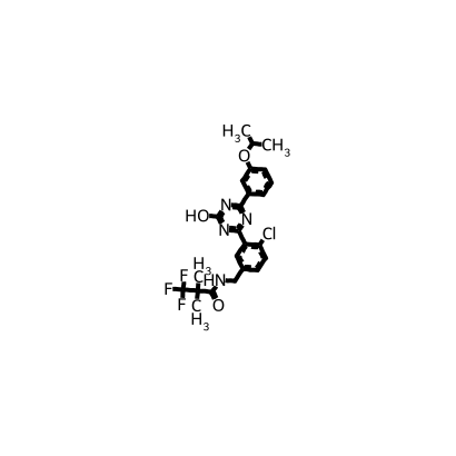 CC(C)Oc1cccc(-c2nc(O)nc(-c3cc(CNC(=O)C(C)(C)C(F)(F)F)ccc3Cl)n2)c1